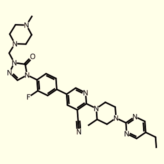 CCc1cnc(N2CCN(c3ncc(-c4ccc(-n5cnn(CN6CCN(C)CC6)c5=O)c(F)c4)cc3C#N)C(C)C2)nc1